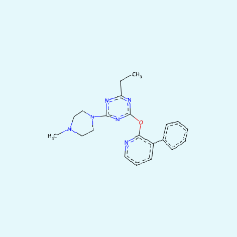 CCc1nc(Oc2ncccc2-c2ccccc2)nc(N2CCN(C)CC2)n1